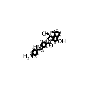 Cc1cccc2c(O)cc3c(c12)[C@H](CCl)CN3C(=O)c1ccc2c(c1)CC(c1ccc(N)cc1)N2